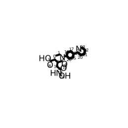 CCN(C(=O)C(CC(=O)O)CC(=O)NO)c1ccc(-c2ccccn2)cc1